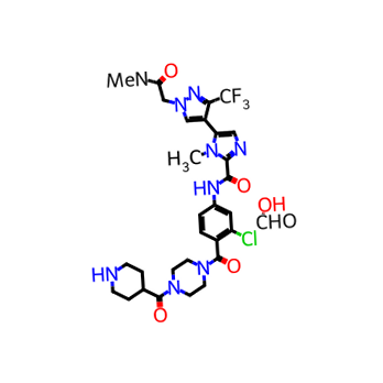 CNC(=O)Cn1cc(-c2cnc(C(=O)Nc3ccc(C(=O)N4CCN(C(=O)C5CCNCC5)CC4)c(Cl)c3)n2C)c(C(F)(F)F)n1.O=CO